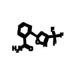 NC(=O)c1ccccc1[C@H]1CC(C(F)(F)F)=NO1